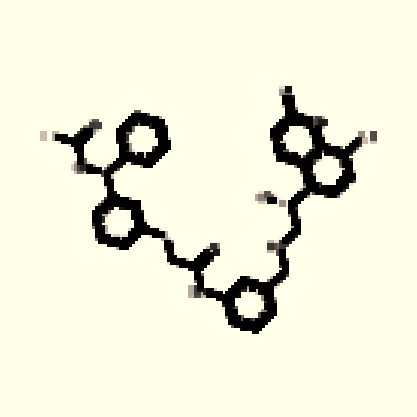 O=C(O)N[C@@H](c1ccccc1)c1cccc(OCC(=O)Nc2cccc(CNC[C@H](O)c3ccc(O)c4[nH]c(=O)ccc34)c2)c1